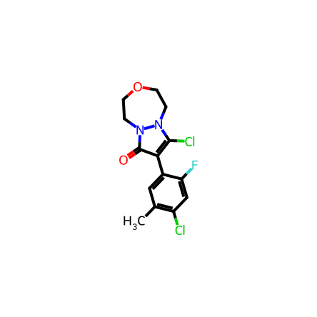 Cc1cc(-c2c(Cl)n3n(c2=O)CCOCC3)c(F)cc1Cl